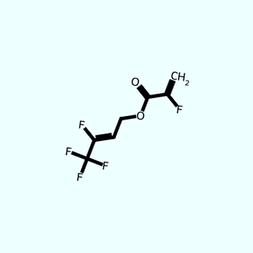 C=C(F)C(=O)OCC=C(F)C(F)(F)F